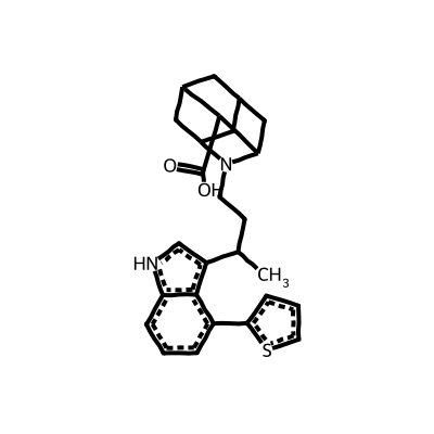 CC(CCN1C2CC3CC(C2)C(C(=O)O)C1C3)c1c[nH]c2cccc(-c3cccs3)c12